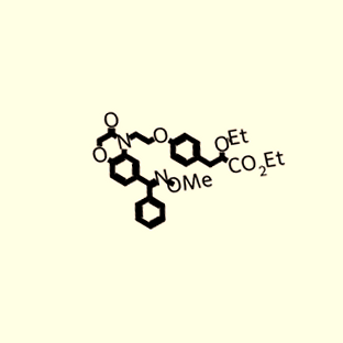 CCOC(=O)C(Cc1ccc(OCCN2C(=O)COc3ccc(/C(=N/OC)c4ccccc4)cc32)cc1)OCC